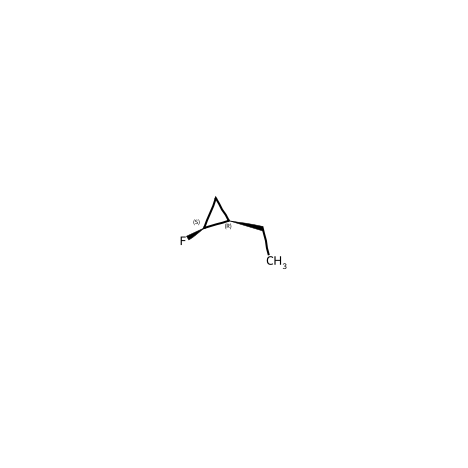 CC[C@@H]1C[C@@H]1F